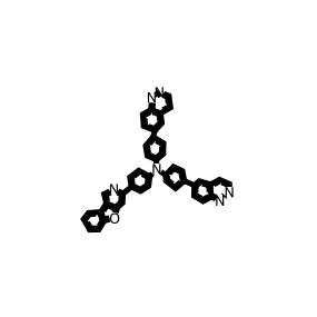 c1ccc2c(c1)oc1cc(-c3ccc(N(c4ccc(-c5ccc6nnccc6c5)cc4)c4ccc(-c5ccc6nnccc6c5)cc4)cc3)ncc12